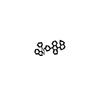 c1ccc(N(c2ccc(-c3c4ccccc4c(-c4cccc5ccccc45)c4ccccc34)cc2)c2nccc3ccccc23)cc1